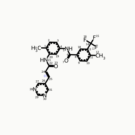 Cc1ccc(NC(=O)c2ccc(C)c(C(F)(F)F)c2)cc1NC(=O)/C=C/c1cncnc1